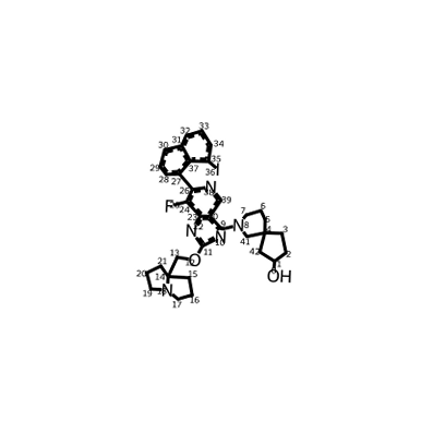 OC1CCC2(CCCN(c3nc(OCC45CCCN4CCC5)nc4c(F)c(-c5cccc6cccc(I)c56)ncc34)C2)C1